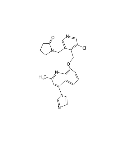 Cc1cc(-n2ccnc2)c2cccc(OCc3c(Cl)cncc3CN3CCCC3=O)c2n1